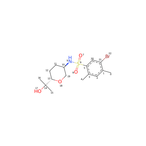 Cc1cc(C)c(S(=O)(=O)N[C@@H]2CC[C@@H](C(C)(C)O)OC2)cc1Br